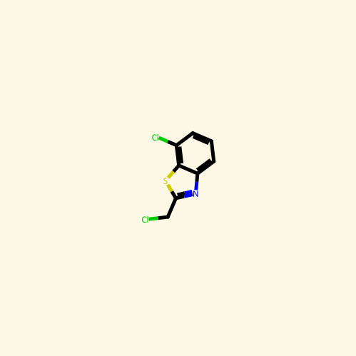 ClCc1nc2cccc(Cl)c2s1